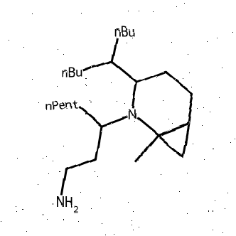 CCCCCC(CCN)N1C(C(CCCC)CCCC)CCC2CC21C